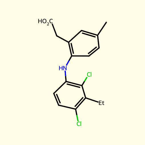 CCc1c(Cl)ccc(Nc2ccc(C)cc2CC(=O)O)c1Cl